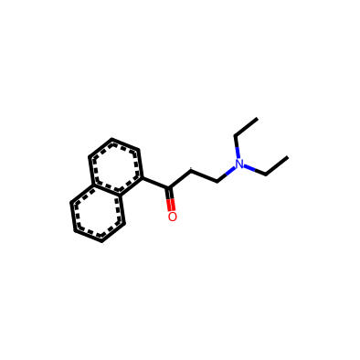 CCN(CC)C[CH]C(=O)c1cccc2ccccc12